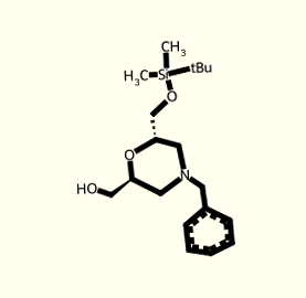 CC(C)(C)[Si](C)(C)OC[C@@H]1CN(Cc2ccccc2)C[C@@H](CO)O1